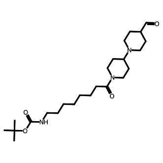 CC(C)(C)OC(=O)NCCCCCCCC(=O)N1CCC(N2CCC(C=O)CC2)CC1